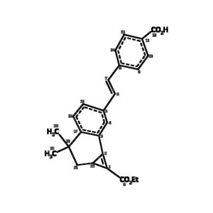 CCOC(=O)C1=C2c3cc(/C=C/c4ccc(C(=O)O)cc4)ccc3C(C)(C)CC12